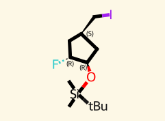 CC(C)(C)[Si](C)(C)O[C@@H]1C[C@H](CI)C[C@H]1F